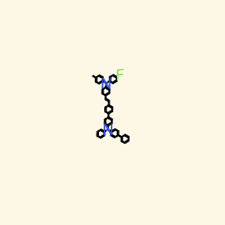 Cc1ccc(N(c2ccc(F)cc2)c2ccc(/C=C/c3ccc(-c4ccc(N(c5ccccc5)c5ccc(-c6ccccc6)cc5)cc4)cc3)cc2)cc1